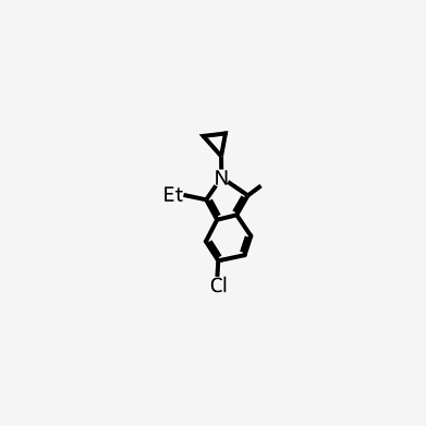 CCc1c2cc(Cl)ccc2c(C)n1C1CC1